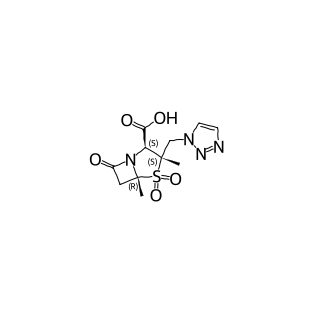 C[C@]1(Cn2ccnn2)[C@H](C(=O)O)N2C(=O)C[C@@]2(C)S1(=O)=O